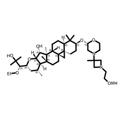 CCO[C@@H]([C@H]1C[C@@H](C)[C@H]2[C@H](O1)[C@H](O)[C@@]1(C)[C@@H]3CC[C@H]4C(C)(C)[C@@H](O[C@H]5CN(C6(C)CN(CCOC)C6)CCO5)CC[C@@]45C[C@@]35CC[C@]21C)C(C)(C)O